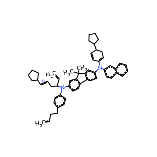 C=CCCc1ccc(N(c2ccc3c(c2)C(C)(C)c2cc(N(C4=CCC(C5CCCC5)C=C4)c4ccc5ccccc5c4)ccc2-3)C(C=C)C/C=C/C2CCCC2)cc1